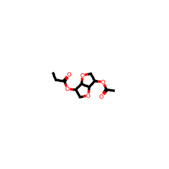 CCC(=O)OC1COC2C(OC(C)=O)COC12